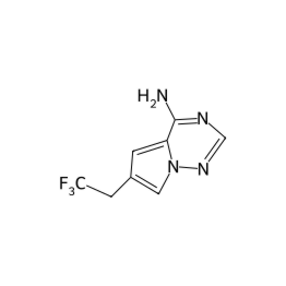 Nc1ncnn2cc(CC(F)(F)F)cc12